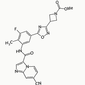 COC(=O)N1CC(c2noc(-c3cc(F)c(C)c(NC(=O)c4cnc5cc(C#N)ccn45)c3)n2)C1